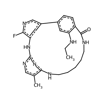 CCNc1cc2ccc1C(=O)NCCCCCNc1nc(ncc1C)Nc1cc-2cnc1F